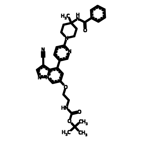 CC1(NC(=O)c2ccccc2)CCN(c2ccc(-c3cc(OCCNC(=O)OC(C)(C)C)cn4ncc(C#N)c34)cn2)CC1